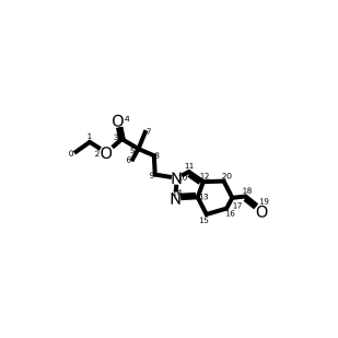 CCOC(=O)C(C)(C)CCn1cc2c(n1)CCC(C=O)C2